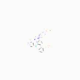 CC(=O)OCc1cccc(Cl)c1-c1c(F)cc2c(N3CCN(C(=O)OC(C)(C)C)C[C@@H]3C)nc(=O)n(-c3c(C)ccnc3C(C)C)c2c1F